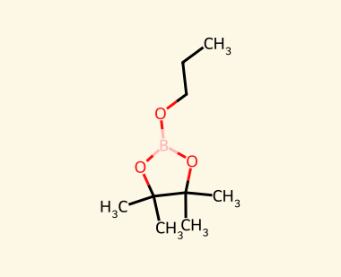 CCCOB1OC(C)(C)C(C)(C)O1